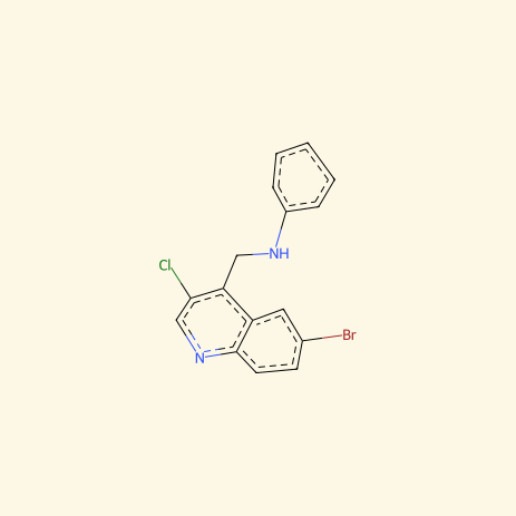 Clc1cnc2ccc(Br)cc2c1CNc1ccccc1